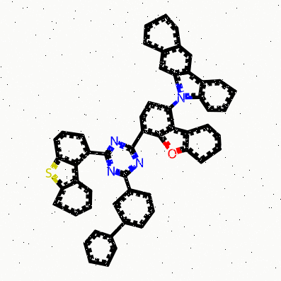 c1ccc(-c2cccc(-c3nc(-c4ccc(-n5c6ccccc6c6cc7ccccc7cc65)c5c4oc4ccccc45)nc(-c4cccc5sc6ccccc6c45)n3)c2)cc1